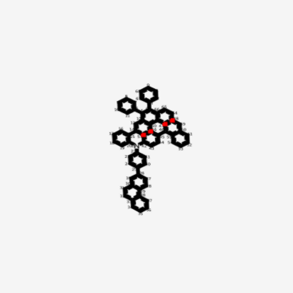 c1ccc(-c2c(-c3ccccc3)c3cc(-c4ccccc4N(c4ccc(-c5ccc6c(ccc7ccccc76)c5)cc4)c4ccc(-c5cccc6ccccc56)cc4)ccc3c3ccccc23)cc1